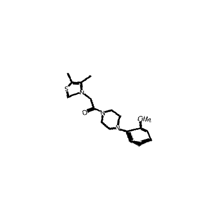 COc1ccccc1N1CCN(C(=O)CN2CSC(C)=C2C)CC1